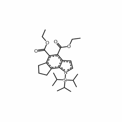 CCOC(=O)c1c2c(c3c(ccn3[Si](C(C)C)(C(C)C)C(C)C)c1C(=O)OCC)CCC2